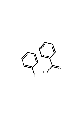 Clc1ccccc1.OC(=S)c1ccccc1